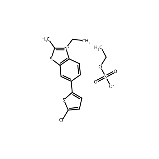 CCOS(=O)(=O)[O-].CC[n+]1c(C)sc2cc(-c3ccc(Cl)s3)ccc21